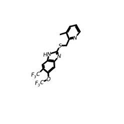 Cc1cccnc1CSc1nc2cc(OC(F)(F)F)c(C(F)(F)F)cc2[nH]1